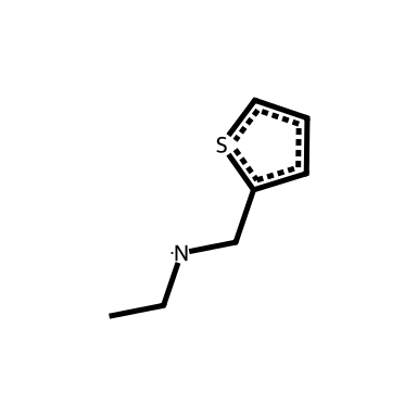 CC[N]Cc1cccs1